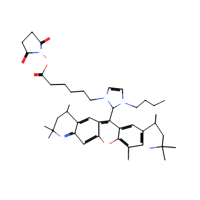 CC1CC(C)(C)Nc2c1cc1c(c2S(=O)(=O)O)Oc2cc3c(cc2=C1C1N(CCCCCC(=O)ON2C(=O)CCC2=O)C=CN1CCCS(=O)(=O)O)C(C)CC(C)(C)N=3